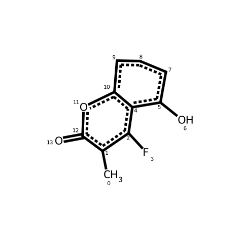 Cc1c(F)c2c(O)cccc2oc1=O